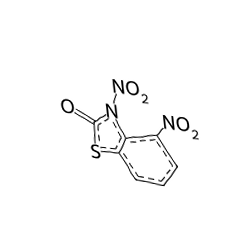 O=c1sc2cccc([N+](=O)[O-])c2n1[N+](=O)[O-]